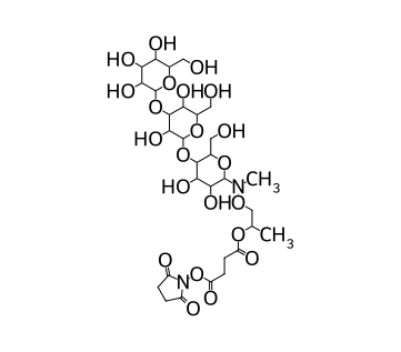 CC(CON(C)C1OC(CO)C(OC2OC(CO)C(O)C(OC3OC(CO)C(O)C(O)C3O)C2O)C(O)C1O)OC(=O)CCC(=O)ON1C(=O)CCC1=O